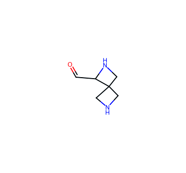 O=CC1NCC12CNC2